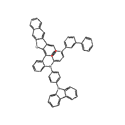 c1ccc(-c2cccc(-c3ccc(N(c4ccc(-n5c6ccccc6c6ccccc65)cc4)c4ccccc4-c4cccc5c4oc4cc6ccccc6cc45)cc3)c2)cc1